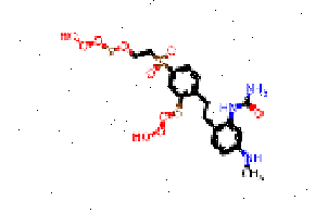 CNc1ccc(CCc2ccc(S(=O)(=O)CCOSOOO)cc2SOOO)c(NC(N)=O)c1